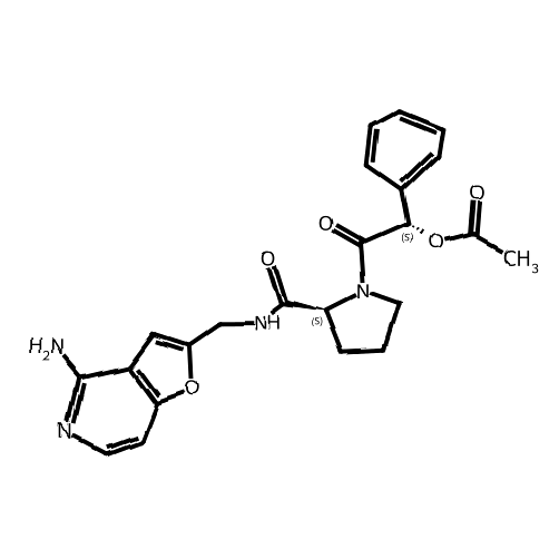 CC(=O)O[C@H](C(=O)N1CCC[C@H]1C(=O)NCc1cc2c(N)nccc2o1)c1ccccc1